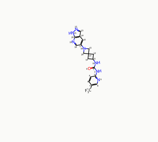 O=C(Nc1ccc(C(F)(F)F)cn1)NC1CC2(C1)CN(c1cnc3[nH]ncc3c1)C2